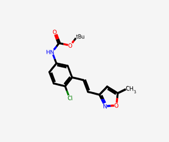 Cc1cc(C=Cc2cc(NC(=O)OC(C)(C)C)ccc2Cl)no1